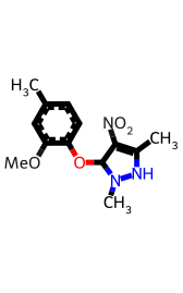 COc1cc(C)ccc1OC1C([N+](=O)[O-])=C(C)NN1C